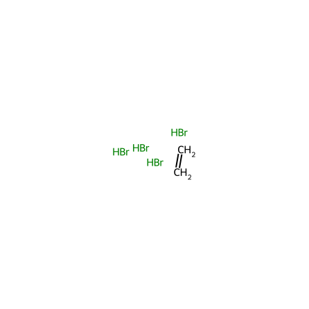 Br.Br.Br.Br.C=C